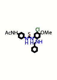 COc1cc(NCc2ccccc2)c(NC(=S)Nc2ccc(NC(C)=O)cc2)cc1Cl